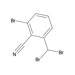 N#Cc1c(Br)cccc1C(Br)Br